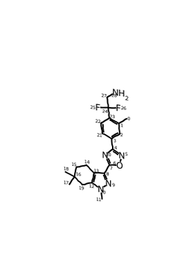 Cc1cc(-c2noc(-c3nn(C)c4c3CCC(C)(C)C4)n2)ccc1C(F)(F)CN